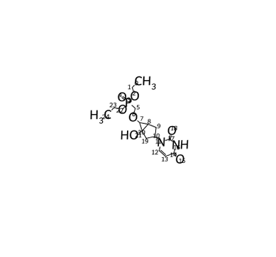 CCOP(=O)(COC1C2C[C@@H](n3ccc(=O)[nH]c3=O)CC21O)OCC